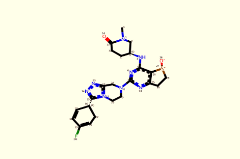 CN1C[C@@H](Nc2nc(N3CCn4c(nnc4[C@H]4C=CC(F)=CC4)C3)nc3c2[S+]([O-])CC3)CCC1=O